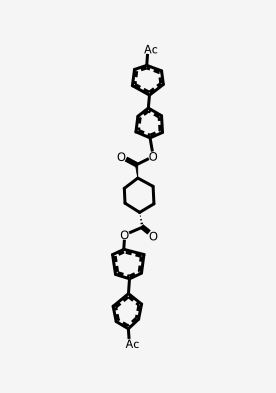 CC(=O)c1ccc(-c2ccc(OC(=O)[C@H]3CC[C@H](C(=O)Oc4ccc(-c5ccc(C(C)=O)cc5)cc4)CC3)cc2)cc1